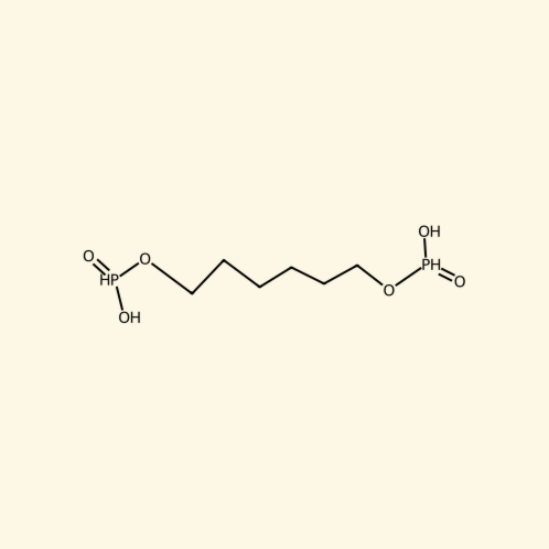 O=[PH](O)OCCCCCCO[PH](=O)O